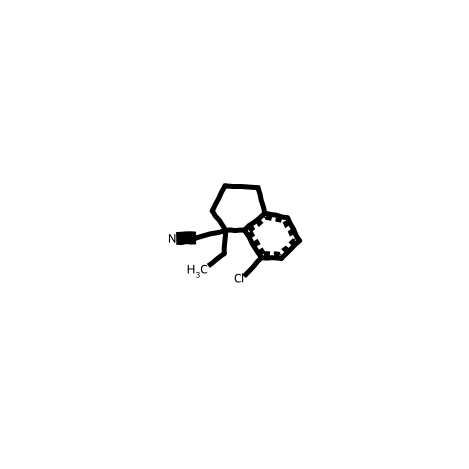 CCC1(C#N)CCCc2cccc(Cl)c21